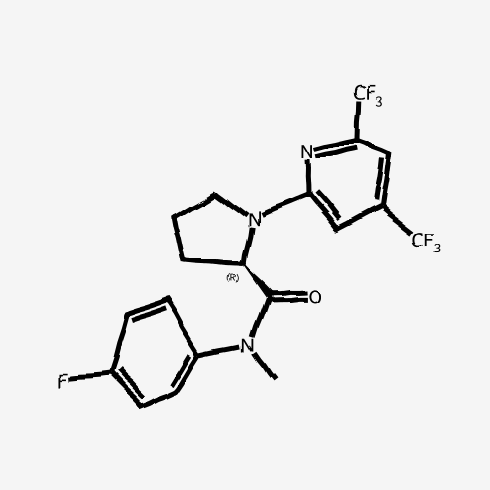 CN(C(=O)[C@H]1CCCN1c1cc(C(F)(F)F)cc(C(F)(F)F)n1)c1ccc(F)cc1